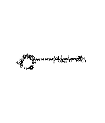 CC[C@H](C)[C@@H]1NC(=O)[C@H](CC(C)C)NC(=O)[C@H](C)NC(=O)CCSCc2cccc(c2)CSC[C@@H](C(=O)NCCCOCCOCCOCCCNC(O)CCC(=O)N[C@@H](CCCCNC(=O)CCCC[C@@H]2SC[C@@H]3NC(O)NC32)C(N)=O)NC1=O